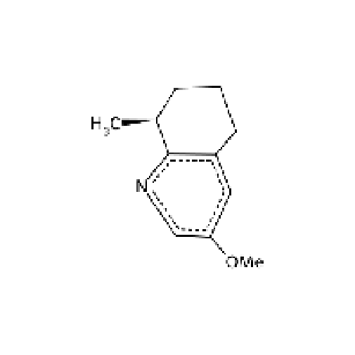 COc1cnc2c(c1)CCC[C@@H]2C